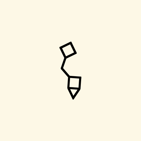 C1CC(CC2CC3CC23)C1